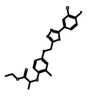 CCOC(=O)C(C)Oc1ccc(SCc2nnc(-c3ccc(F)c(Cl)c3)s2)cc1C